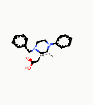 C[C@@H]1[C@@H](CC(=O)O)N(Cc2ccccc2)CCN1c1ccccc1